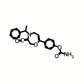 CC(c1ccccc1)N1CC=C(c2ccc(OC(N)=O)cc2)OCC1=C=O